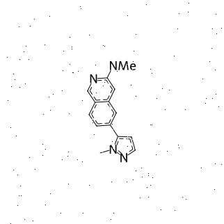 CNc1cc2cc(-c3ccnn3C)ccc2cn1